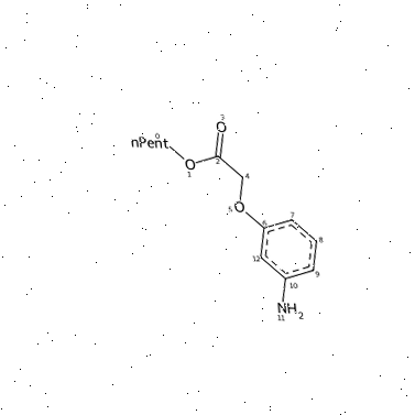 CCCCCOC(=O)COc1cccc(N)c1